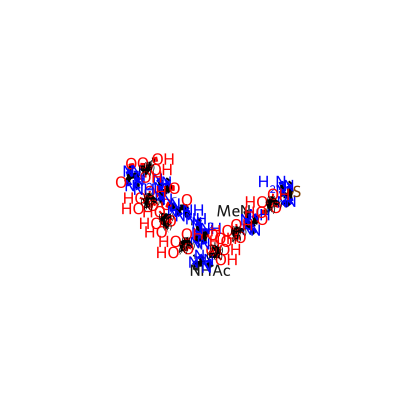 CC(=O)Nc1ncnc2c1ncn2[C@@H]1O[C@H](CO)[C@@H](O)[C@H]1O.CN(C)c1nc2c(ncn2[C@@H]2O[C@H](CO)[C@@H](O)[C@H]2O)c(=O)[nH]1.CNc1nc2c(ncn2[C@@H]2O[C@H](CO)[C@@H](O)[C@H]2O)c(=O)[nH]1.Cn1c(=O)n([C@@H]2O[C@H](CO)[C@@H](O)[C@H]2O)c2nc(N)[nH]c(=O)c21.Cn1c(N)nc2c(ncn2[C@@H]2O[C@H](CO)[C@@H](O)[C@H]2O)c1=O.Cn1c(N)nc2c(ncn2[C@@H]2O[C@H](CO)[C@@H](O)[C@H]2O)c1=S.NC1=NC(=O)C2=NC(=O)N([C@@H]3O[C@H](CO)[C@@H](O)[C@H]3O)C2=N1